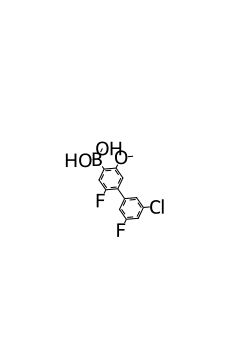 COc1cc(-c2cc(F)cc(Cl)c2)c(F)cc1B(O)O